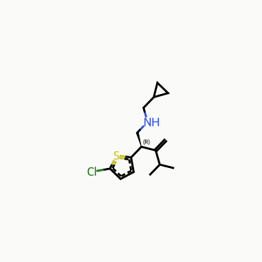 C=C(C(C)C)[C@H](CNCC1CC1)c1ccc(Cl)s1